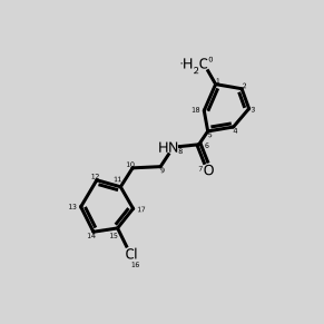 [CH2]c1cccc(C(=O)NCCc2cccc(Cl)c2)c1